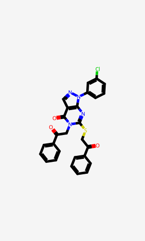 O=C(CSc1nc2c(cnn2-c2cccc(Cl)c2)c(=O)n1CC(=O)c1ccccc1)c1ccccc1